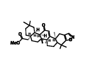 COC(=O)C[C@]12CCC(C)(C)C[C@H]1[C@H]1C(=O)C=C3[C@@]4(C)Cc5cnoc5C(C)(C)C4CC[C@@]3(C)[C@]1(C)CC2